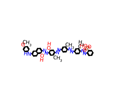 COc1ccc(Nc2ccc3c(O)c(N=Nc4cc(C)c(N=Nc5ccc(N=Nc6ccc(N=Nc7ccccc7S(=O)(=O)O)c(C)c6)c(C)c5)cc4O)ccc3c2)cc1